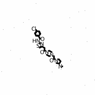 CN(C)C1CCN(C(=O)CN2CCN(C(=O)Cc3csc(NC(=O)c4ccc(Cl)cc4)n3)CC2)C1